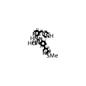 CSc1ncc(-c2ccc3nc(Nc4cc(CN5CCNCC5)ccn4)[nH]c3c2)cn1.Cl